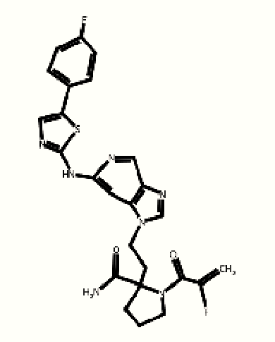 C=C(F)C(=O)N1CCCC1(CCn1cnc2cnc(Nc3ncc(-c4ccc(F)cc4)s3)cc21)C(N)=O